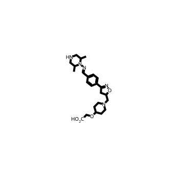 CC1CNCC(C)N1N=Cc1ccc(C2=NOC(CN3CCC(OCC(=O)O)CC3)C2)cc1